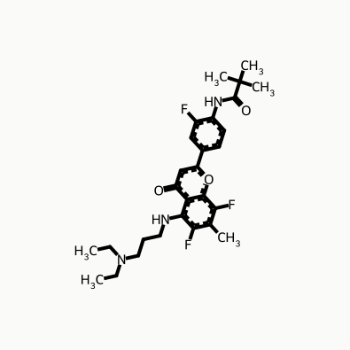 CCN(CC)CCCNc1c(F)c(C)c(F)c2oc(-c3ccc(NC(=O)C(C)(C)C)c(F)c3)cc(=O)c12